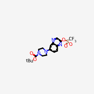 CC(C)(C)OC(=O)N1CCN(c2ccc3nc(OS(=O)(=O)C(F)(F)F)cnc3c2)CC1